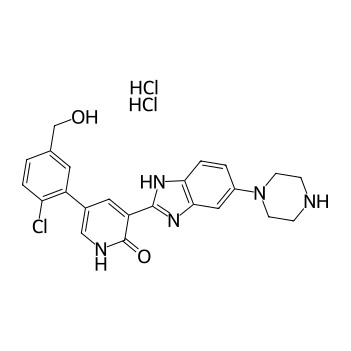 Cl.Cl.O=c1[nH]cc(-c2cc(CO)ccc2Cl)cc1-c1nc2cc(N3CCNCC3)ccc2[nH]1